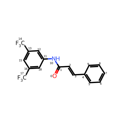 O=C(C=Cc1ccccc1)Nc1cc(C(F)(F)F)cc(C(F)(F)F)c1